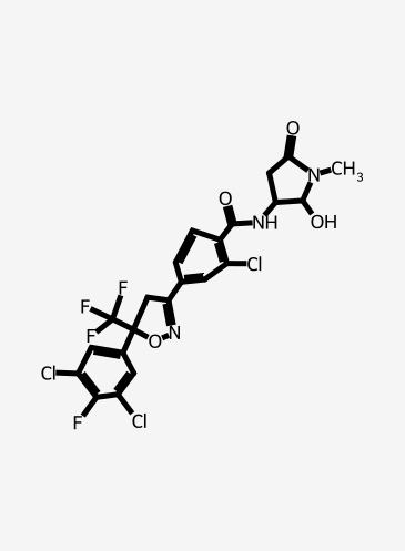 CN1C(=O)CC(NC(=O)c2ccc(C3=NOC(c4cc(Cl)c(F)c(Cl)c4)(C(F)(F)F)C3)cc2Cl)C1O